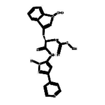 CCn1nc(-c2ccncc2)cc1NC(=O)[C@H](Cc1cn(C=O)c2ccccc12)NC(=O)OC(C)(C)C